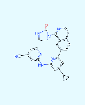 N#Cc1ccnc(Nc2cc(C3CC3)cc(-c3ccc4ccnc(N5CCNC5=O)c4c3)n2)c1